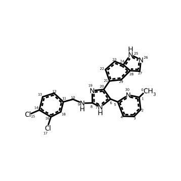 Cc1cccc(-c2[nH]c(NCc3ccc(Cl)c(Cl)c3)nc2-c2ccc3[nH]ncc3c2)n1